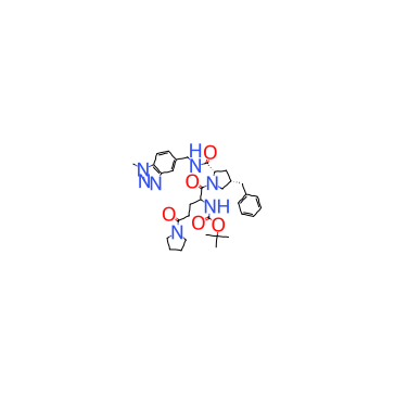 Cn1nnc2cc(CNC(=O)[C@@H]3C[C@H](Cc4ccccc4)CN3C(=O)C(CCC(=O)N3CCCC3)NC(=O)OC(C)(C)C)ccc21